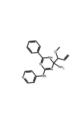 C=CC(OC)C1(N)N=C(Nc2ccncc2)N=C(c2ccccc2)N1